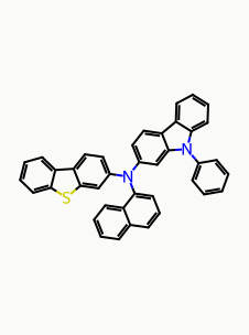 c1ccc(-n2c3ccccc3c3ccc(N(c4ccc5c(c4)sc4ccccc45)c4cccc5ccccc45)cc32)cc1